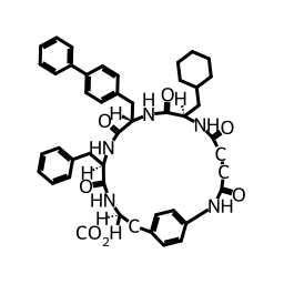 O=C1CCC(=O)N[C@H](CC2CCCCC2)C(=O)N[C@@H](Cc2ccc(-c3ccccc3)cc2)C(=O)N[C@H](Cc2ccccc2)C(=O)N[C@H](C(=O)O)Cc2ccc(cc2)N1